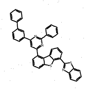 c1ccc(-c2cccc(-c3cc(-c4cccc5sc6c(-c7nc8ccccc8s7)cccc6c45)nc(-c4ccccc4)n3)c2)cc1